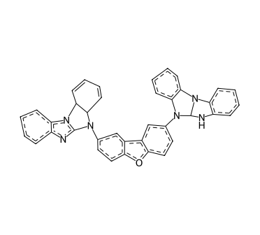 C1=CC2C(C=C1)n1c(nc3ccccc31)N2c1ccc2oc3ccc(N4c5ccccc5N5c6ccccc6NC45)cc3c2c1